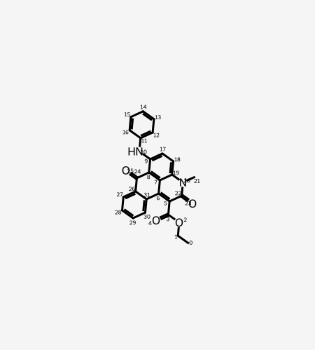 CCOC(=O)c1c2c3c(c(Nc4ccccc4)ccc3n(C)c1=O)C(=O)c1ccccc1-2